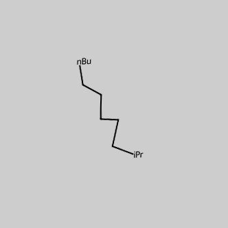 [CH2]C(C)CCCCCCCCC